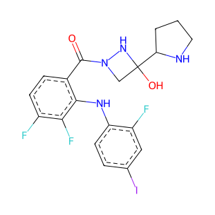 O=C(c1ccc(F)c(F)c1Nc1ccc(I)cc1F)N1CC(O)(C2CCCN2)N1